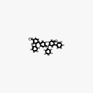 Clc1ccc(-c2ccc(N(c3ccccc3)c3ccc4oc5ccccc5c4c3)cc2)c2c1sc1ccccc12